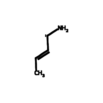 C/C=C/[C]N